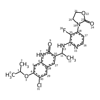 CC(C)Oc1cc2[nH]c(=O)c(C(C)Nc3nccc(N4CCOC4=O)c3F)cc2cc1Cl